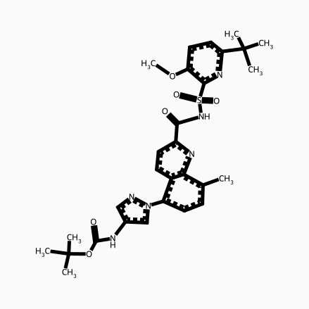 COc1ccc(C(C)(C)C)nc1S(=O)(=O)NC(=O)c1ccc2c(-n3cc(NC(=O)OC(C)(C)C)cn3)ccc(C)c2n1